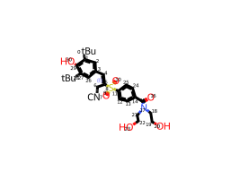 CC(C)(C)c1cc(/C=C(\CC#N)S(=O)(=O)c2ccc(C(=O)N(CCO)CCO)cc2)cc(C(C)(C)C)c1O